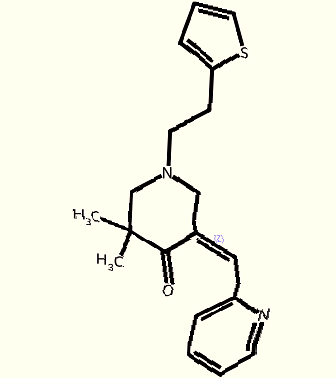 CC1(C)CN(CCc2cccs2)C/C(=C/c2ccccn2)C1=O